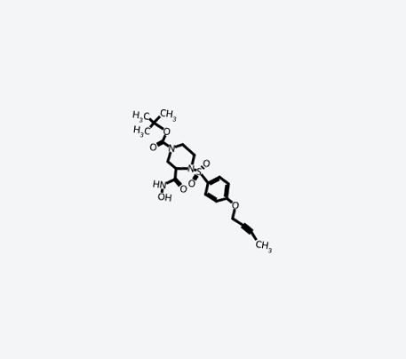 CC#CCOc1ccc(S(=O)(=O)N2CCN(C(=O)OC(C)(C)C)CC2C(=O)NO)cc1